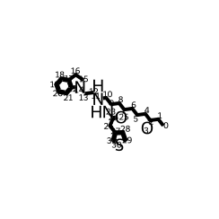 CCC(=O)CCCCCC(CNCCN1CCc2ccccc21)NC(=O)Cc1ccsc1